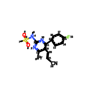 CC(C)c1nc(N(C)S(C)(=O)=O)nc(-c2ccc(F)cc2)c1C=CC#N